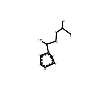 CC(C)CCC(F)c1[c]cccc1